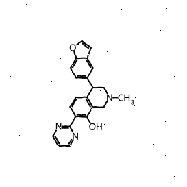 CN1Cc2c(ccc(-c3ncccn3)c2O)C(c2ccc3occc3c2)C1